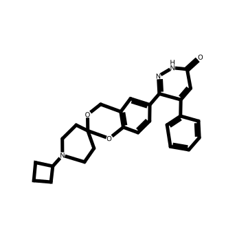 O=c1cc(-c2ccccc2)c(-c2ccc3c(c2)COC2(CCN(C4CCC4)CC2)O3)n[nH]1